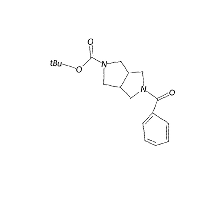 CC(C)(C)OC(=O)N1CC2CN(C(=O)c3ccccc3)CC2C1